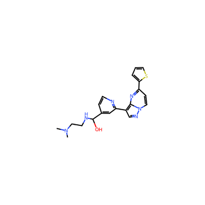 CN(C)CCNC(O)c1ccnc(-c2cnn3ccc(-c4cccs4)nc23)c1